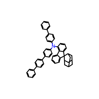 c1ccc(-c2ccc(-c3ccc(N(c4ccc(-c5ccccc5)cc4)c4cccc5c4-c4ccccc4C54C5CC6CC(C5)CC4C6)cc3)cc2)cc1